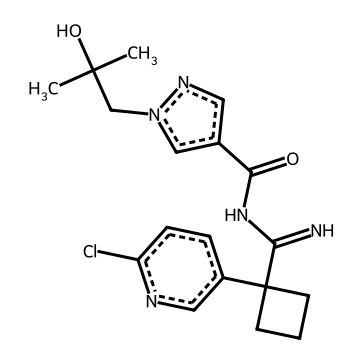 CC(C)(O)Cn1cc(C(=O)NC(=N)C2(c3ccc(Cl)nc3)CCC2)cn1